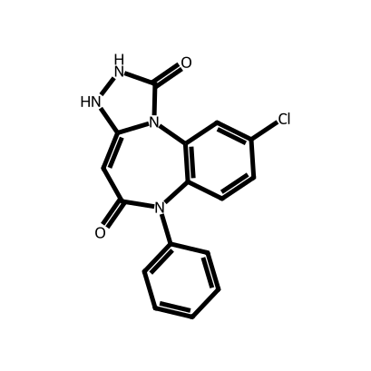 O=C1NNC2=CC(=O)N(c3ccccc3)c3ccc(Cl)cc3N12